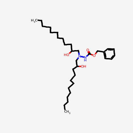 CCCCCCCCCCC(O)CN(CC(O)CCCCCCCCCC)NC(=O)OCc1ccccc1